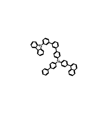 c1ccc(-c2ccc(N(c3ccc(-c4cccc(-c5cccc(-n6c7ccccc7c7ccccc76)c5)c4)cc3)c3ccc(-c4cccc5ccccc45)cc3)cc2)cc1